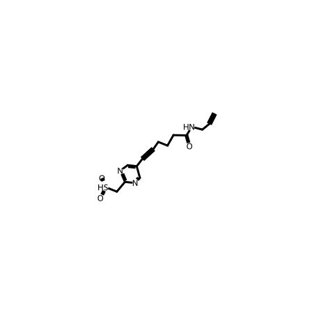 C#CCNC(=O)CCCC#Cc1cnc(C[SH](=O)=O)nc1